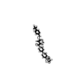 Cc1c(OCc2ccc(C(C)(C)C)cc2)ncnc1C(=O)N1CCC(N2CCC(N(C)S(C)(=O)=O)CC2)CC1